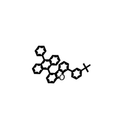 CC(C)(C)c1cccc(-c2cccc3c2oc2cccc(-c4c5ccccc5c(-c5ccccc5)c5ccccc45)c23)c1